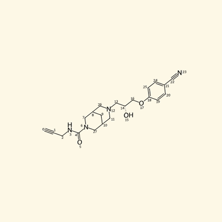 C#CCNC(=O)N1CC2CC(CN(C[C@@H](O)COc3ccc(C#N)cc3)C2)C1